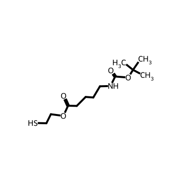 CC(C)(C)OC(=O)NCCCCC(=O)OCCS